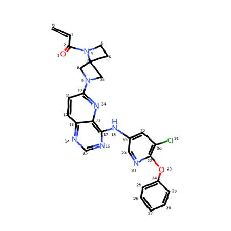 C=CC(=O)N1CCC12CN(c1ccc3ncnc(Nc4cnc(Oc5ccccc5)c(Cl)c4)c3n1)C2